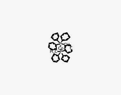 C[P]([Co][P](C)(c1ccccc1)(c1ccccc1)c1ccccc1)(c1ccccc1)(c1ccccc1)c1ccccc1